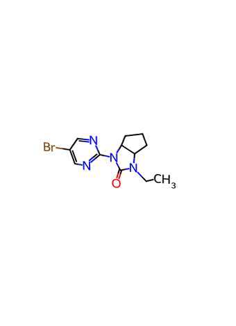 CCN1C(=O)N(c2ncc(Br)cn2)C2CCCC21